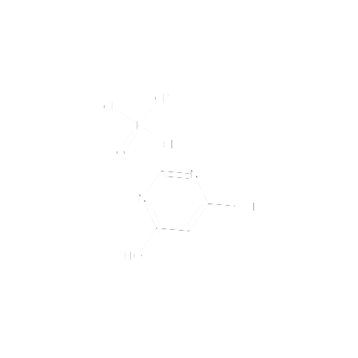 O=P(Cl)(Cl)Cl.Oc1cc(O)ncn1